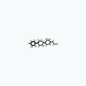 CCCC1CCC(C2CC=C(c3ccccc3)CC2)CC1